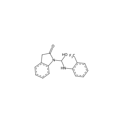 O=C1Cc2ccccc2N1C(O)Nc1ccccc1C(F)(F)F